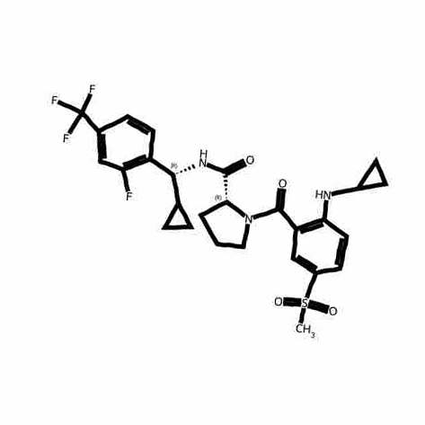 CS(=O)(=O)c1ccc(NC2CC2)c(C(=O)N2CCC[C@@H]2C(=O)N[C@@H](c2ccc(C(F)(F)F)cc2F)C2CC2)c1